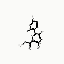 COC(=O)c1nc(-c2ccc(O)cc2F)c(F)cc1Cl